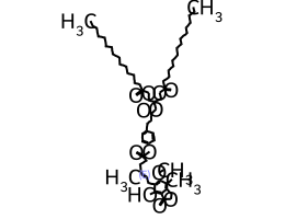 CCCCCCCCCCCCCCCC(=O)OCC(COC(=O)CCCCCCCCCCCCCCC)OC(=O)CCc1ccc(OC(=O)CC/C(C)=C/Cc2c(O)c3c(c(C)c2OC)COC3=O)cc1